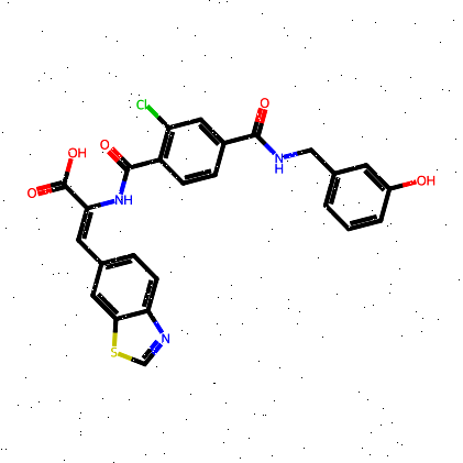 O=C(O)/C(=C/c1ccc2ncsc2c1)NC(=O)c1ccc(C(=O)NCc2cccc(O)c2)cc1Cl